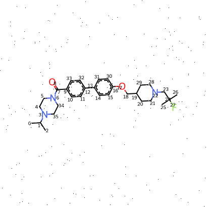 CC(C)N1CCN(C(=O)c2ccc(-c3ccc(OCC4CCN(CC(C)(C)F)CC4)cc3)cc2)CC1